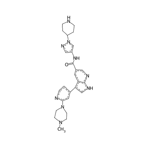 CN1CCN(c2cc(-c3c[nH]c4ncc(C(=O)Nc5cnn(C6CCNCC6)c5)cc34)ccn2)CC1